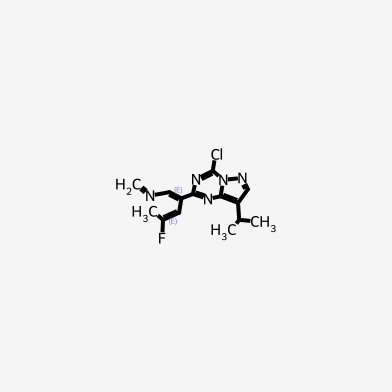 C=N/C=C(\C=C(/C)F)c1nc(Cl)n2ncc(C(C)C)c2n1